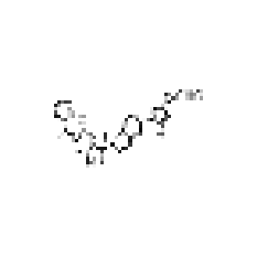 Cc1noc(-c2ccc3cc(-c4cc(OC=O)n[nH]4)ccc3c2)c1NC(=O)OC(C)c1ccccc1